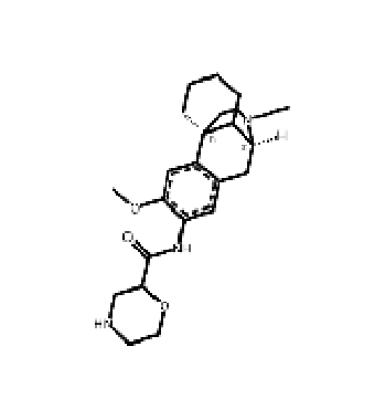 COc1cc2c(cc1NC(=O)C1CNCCO1)C[C@H]1C3CCCC[C@@]23CCN1C